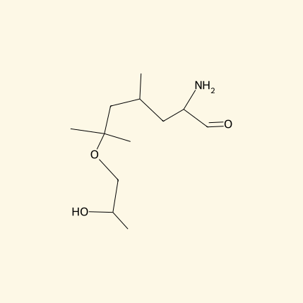 CC(O)COC(C)(C)CC(C)CC(N)C=O